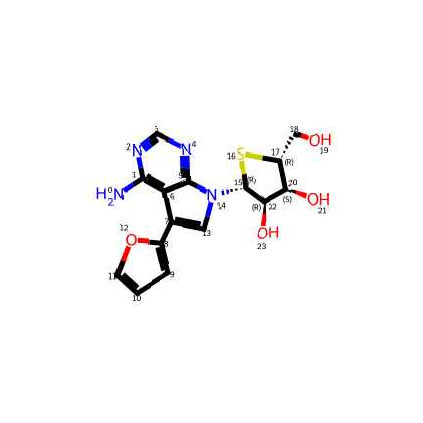 Nc1ncnc2c1c(-c1ccco1)cn2[C@@H]1S[C@H](CO)[C@@H](O)[C@H]1O